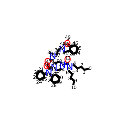 CCCCCN(CCCCC)C(=O)N1CCN(C(=O)N(c2ccccc2)c2ccccc2)[C@H](C(=O)N(C)CCN(C)Cc2ccccc2OC)C1